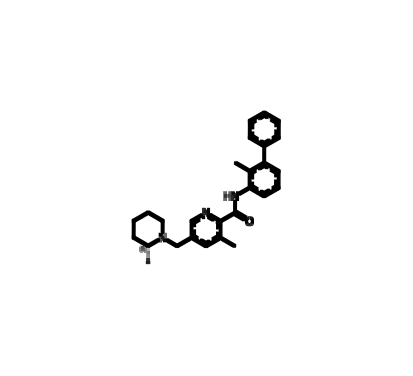 Cc1cc(CN2CCCC[C@H]2C)cnc1C(=O)Nc1cccc(-c2ccccc2)c1C